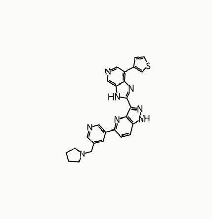 c1cc(-c2cncc3[nH]c(-c4n[nH]c5ccc(-c6cncc(CN7CCCC7)c6)nc45)nc23)cs1